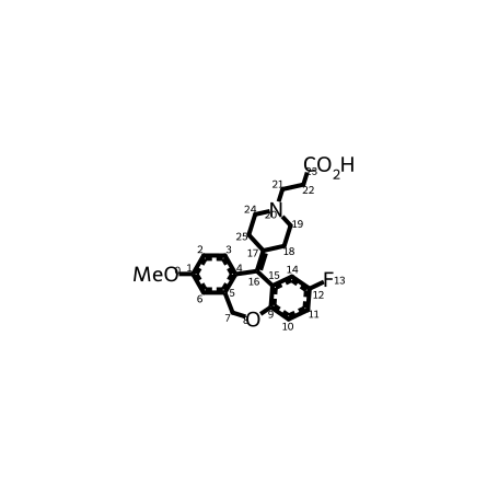 COc1ccc2c(c1)COc1ccc(F)cc1C2=C1CCN(CCC(=O)O)CC1